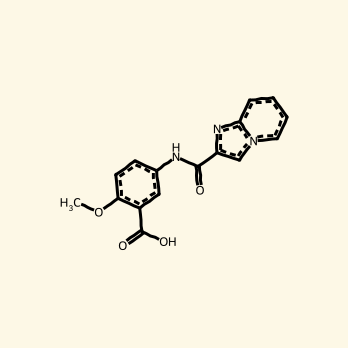 COc1ccc(NC(=O)c2cn3ccccc3n2)cc1C(=O)O